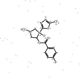 CN1CC(OC(=O)c2ccc(F)cc2)[N+]([O-])(c2nnc(C(F)(F)F)s2)C1